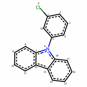 Clc1cccc(-n2c3ccccc3c3ccccc32)c1